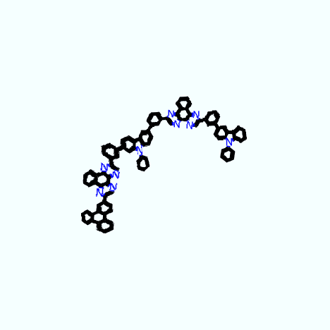 c1ccc(-n2c3ccccc3c3cc(-c4cccc(-c5cnc6c(n5)c5ccccc5c5nc(-c7cccc(-c8ccc9c(c8)c8ccc(-c%10cccc(-c%11cnc%12c(n%11)c%11ccccc%11c%11nc(-c%13ccc%14c%15ccccc%15c%15ccccc%15c%14c%13)cnc%11%12)c%10)cc8n9-c8ccccc8)c7)cnc56)c4)ccc32)cc1